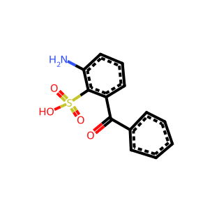 Nc1cccc(C(=O)c2ccccc2)c1S(=O)(=O)O